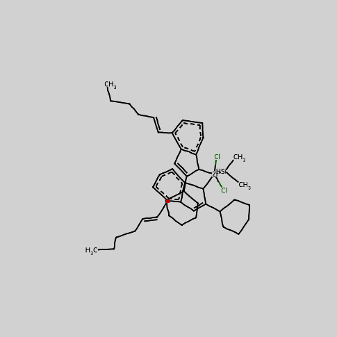 CCCCC=Cc1cccc2c1C=C(C1CCCCC1)[CH]2[Zr]([Cl])([Cl])([CH]1C(C2CCCCC2)=Cc2c(C=CCCCC)cccc21)[SiH](C)C